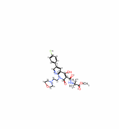 COC(=O)C(C)(C)NC(=O)c1c(O)c2cc(-c3ccc(F)cc3)cnc2n(CCN2CCOCC2)c1=O